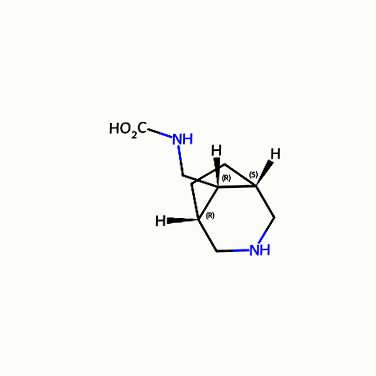 O=C(O)NC[C@@H]1[C@@H]2CC[C@H]1CNC2